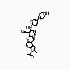 CC(=O)n1c(C)cc2c(F)c(Oc3ncnc(Nc4ccc(N5CCNCC5)cn4)c3C#N)ccc21